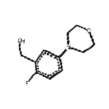 OCc1cc(N2CCOCC2)ccc1F